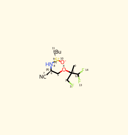 CC(CF)(OC[C@@H](C#N)N[S@@+]([O-])C(C)(C)C)C(F)F